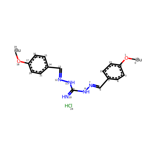 CCC(C)Oc1ccc(/C=N/NC(=N)N/N=C/c2ccc(OC(C)CC)cc2)cc1.Cl